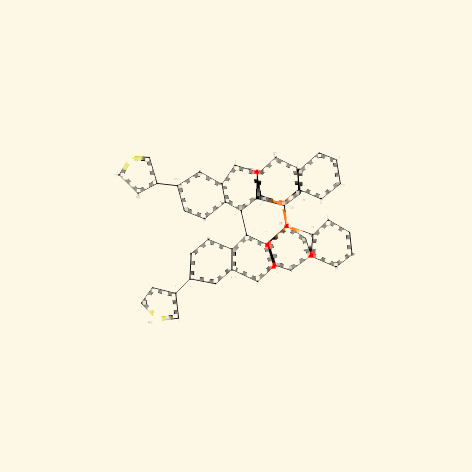 c1ccc(P(c2ccccc2)c2ccc3cc(-c4ccsc4)ccc3c2-c2c(P(c3ccccc3)c3ccccc3)ccc3cc(-c4ccsc4)ccc23)cc1